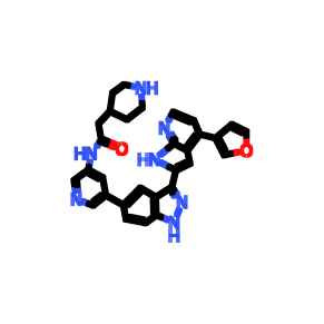 O=C(CC1CCNCC1)Nc1cncc(-c2ccc3[nH]nc(-c4cc5c(-c6ccoc6)ccnc5[nH]4)c3c2)c1